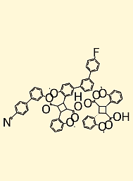 COc1ccccc1C1C(C(=O)O)[C@H](c2cc(-c3cc(OC(=O)C4[C@@H](c5ccccc5OC)C(C(=O)O)[C@@H]4c4ccccc4OC)cc(-c4ccc(F)cc4)c3)ccc2OC)C1C(=O)Oc1cccc(-c2ccc(C#N)cc2)c1